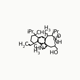 C=CC1(C)CCC(C)(C(C)C)c2cc3c4c(c[nH]c4c21)CC(CO)N[N+](=O)C(C(C)C)C3C